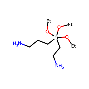 CC[O][Ti]([CH2]CN)([CH2]CCN)([O]CC)[O]CC